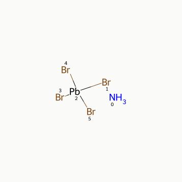 N.[Br][Pb]([Br])([Br])[Br]